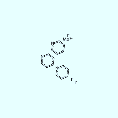 [I-].[I-].[I-].[Mo+3].c1ccncc1.c1ccncc1.c1ccncc1